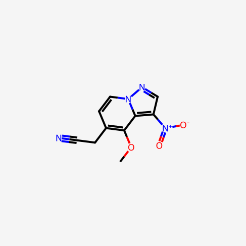 COc1c(CC#N)ccn2ncc([N+](=O)[O-])c12